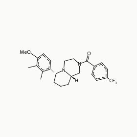 COc1ccc([C@H]2CCC[C@H]3CN(C(=O)c4ccc(C(F)(F)F)cc4)CCN32)c(C)c1C